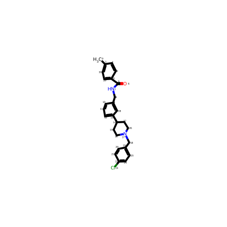 Cc1ccc(C(=O)NCc2cccc(C3CCN(Cc4ccc(Cl)cc4)CC3)c2)cc1